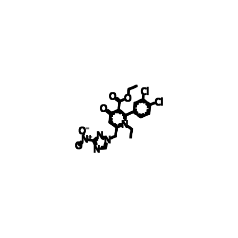 CCOC(=O)c1c(-c2ccc(Cl)c(Cl)c2)n(CC)c(Cn2cnc([N+](=O)[O-])n2)cc1=O